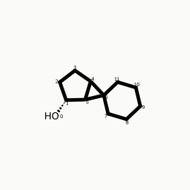 O[C@@H]1CCC2C1C21CCCCC1